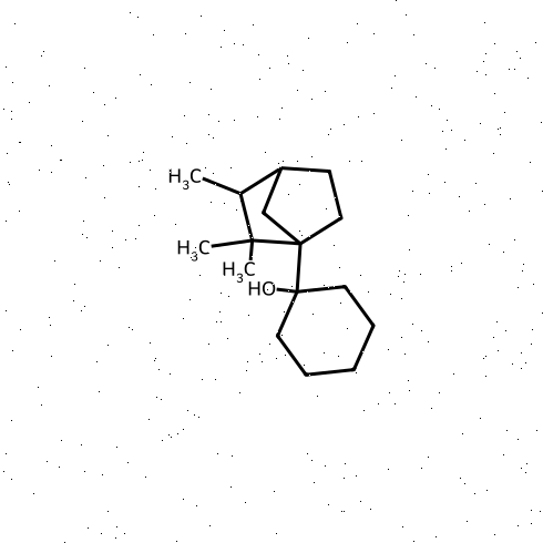 CC1C2CCC(C3(O)CCCCC3)(C2)C1(C)C